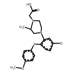 COc1ccc(Sc2ccc(Cl)cc2N2CCN(CC(=O)O)C(C)C2)cc1